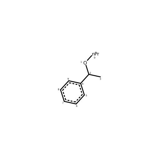 C[CH]COC(C)c1ccccc1